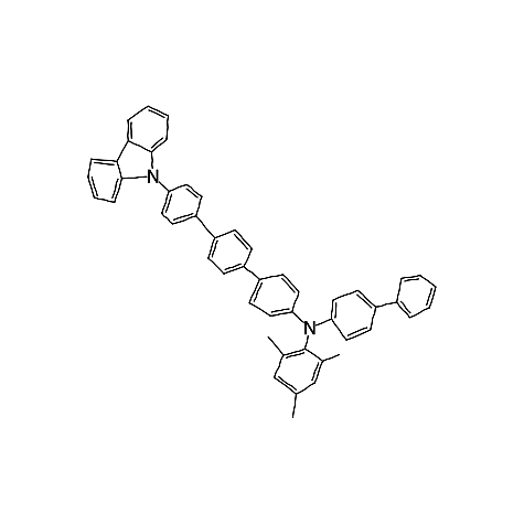 Cc1cc(C)c(N(c2ccc(-c3ccccc3)cc2)c2ccc(-c3ccc(-c4ccc(-n5c6ccccc6c6ccccc65)cc4)cc3)cc2)c(C)c1